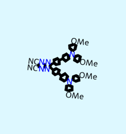 COc1ccc(N(c2ccc(OC)cc2)c2ccc(-c3ccc(-c4nc5nc(C#N)c(C#N)nc5nc4-c4ccc(-c5ccc(N(c6ccc(OC)cc6)c6ccc(OC)cc6)cc5)cc4)cc3)cc2)cc1